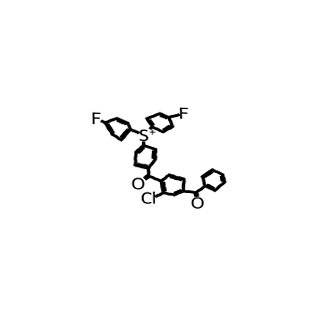 O=C(c1ccccc1)c1ccc(C(=O)c2ccc([S+](c3ccc(F)cc3)c3ccc(F)cc3)cc2)c(Cl)c1